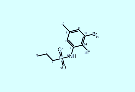 CCCS(=O)(=O)Nc1cc(C)cc(Br)c1F